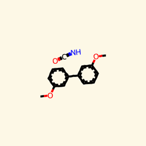 COc1cccc(-c2cccc(OC)c2)c1.N=C=O